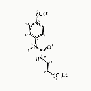 CCCCCCCCc1ccc(N(C)C(=O)NCCC(=O)OCC)cc1